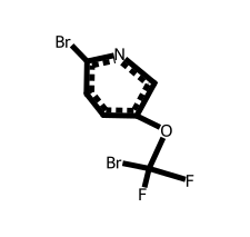 FC(F)(Br)Oc1ccc(Br)nc1